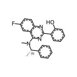 C[C@@H](c1ccccc1)N(C)c1nc(-c2ccccc2O)nc2ccc(F)cc12